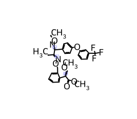 CCO/N=C(/C(CC)=N/OCc1ccccc1/C(=C\OC)C(=O)OC)c1ccc(Oc2cccc(C(F)(F)F)c2)cc1